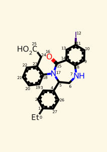 CCc1ccc(C2CNc3ccc(I)cc3C(=O)N2c2ccccc2CC(=O)O)cc1